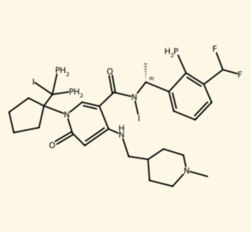 C[C@H](c1cccc(C(F)F)c1P)N(I)C(=O)c1cn(C2(C(P)(P)I)CCCC2)c(=O)cc1NCC1CCN(C)CC1